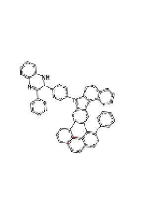 c1ccc(C2=Nc3ccccc3NC2c2ccc(-n3c4cc(-c5ccccc5)c(-c5c(-c6ccccc6)ccc6ccccc56)cc4c4c5ccccc5ccc43)cc2)cc1